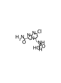 NC(=O)c1cn2c(CN[PH](=O)O)cc(Cl)nc2n1